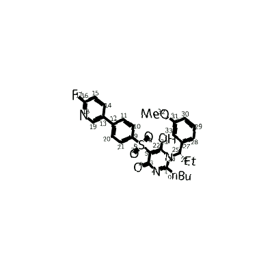 CCCCc1nc(=O)c(S(=O)(=O)c2ccc(-c3ccc(F)nc3)cc2)c(O)n1[C@@H](CC)c1cccc(OC)c1